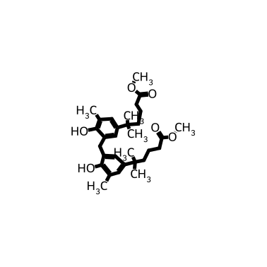 COC(=O)CCCC(C)(C)c1cc(C)c(O)c(Cc2cc(C(C)(C)CCCC(=O)OC)cc(C)c2O)c1